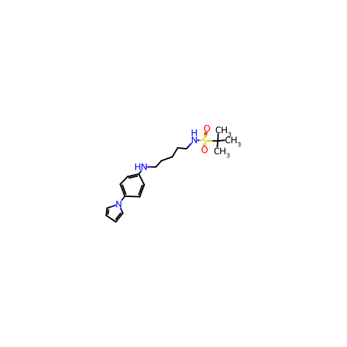 CC(C)(C)S(=O)(=O)NCCCCCNc1ccc(-n2cccc2)cc1